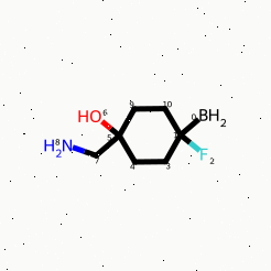 BC1(F)CCC(O)(CN)CC1